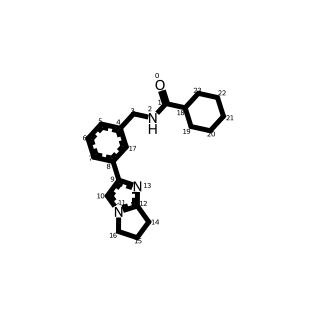 O=C(NCc1cccc(-c2cn3c(n2)CCC3)c1)C1CCCCC1